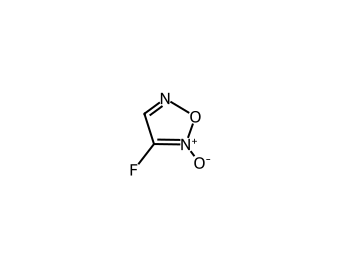 [O-][n+]1oncc1F